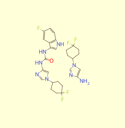 Nc1cn(C2CCC(F)(F)CC2)cn1.O=C(Nc1cn(C2CCC(F)(F)CC2)cn1)Nc1c[nH]c2ccc(F)cc12